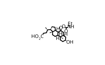 CCNC(=O)O[C@H]1C(=O)[C@@H]2[C@H](CC[C@]3(C)[C@@H]([C@H](C)CCC(=O)O)CC[C@@H]23)[C@@]2(C)CC[C@@H](O)C[C@@H]12